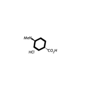 CN[C@H]1CC[C@H](C(=O)O)CC1.Cl